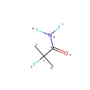 CC(C)(F)C(=O)N(F)F